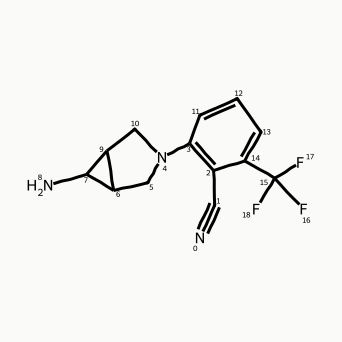 N#Cc1c(N2CC3C(N)C3C2)cccc1C(F)(F)F